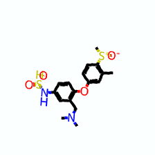 Cc1cc(Oc2ccc(N[SH](=O)=O)cc2CN(C)C)ccc1[S+](C)[O-]